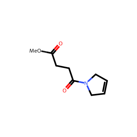 COC(=O)CCC(=O)N1CC=CC1